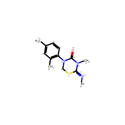 Cc1ccc(N2CS/C(=N\C(C)C)N(C)C2=O)c(C)c1